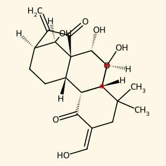 C=C1C(=O)[C@]23[C@H](O)[C@H]1CC[C@H]2[C@@]12CO[C@@]3(O)[C@@H](O)[C@@H]1C(C)(C)C/C(=C/O)C2=O